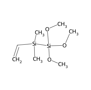 C=C[Si](C)(C)[Si](OC)(OC)OC